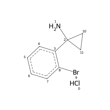 Cl.NC1(c2ccccc2Br)CC1